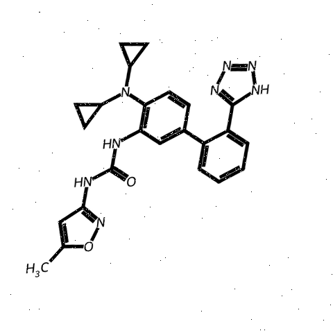 Cc1cc(NC(=O)Nc2cc(-c3ccccc3-c3nnn[nH]3)ccc2N(C2CC2)C2CC2)no1